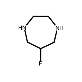 FC1CNCCNC1